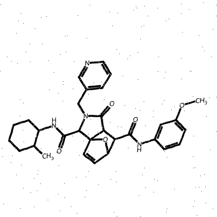 COc1cccc(NC(=O)C2C3C=CC4(O3)C2C(=O)N(Cc2cccnc2)C4C(=O)NC2CCCCC2C)c1